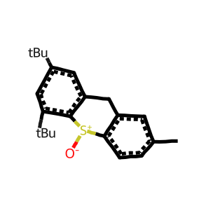 Cc1ccc2c(c1)Cc1cc(C(C)(C)C)cc(C(C)(C)C)c1[S+]2[O-]